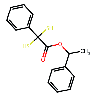 CC(OC(=O)C(S)(S)c1ccccc1)c1ccccc1